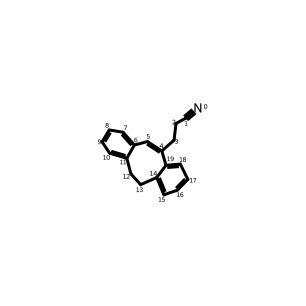 N#CCC/C1=C/c2ccccc2CCc2ccccc21